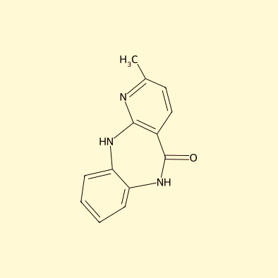 Cc1ccc2c(n1)Nc1ccccc1NC2=O